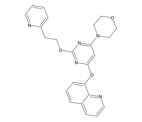 c1ccc(CCOc2nc(Oc3cccc4cccnc34)cc(N3CCOCC3)n2)nc1